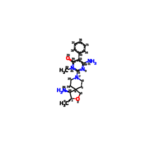 C[C@@H]1OCC2(CCN(c3nc(N)c(-c4ccccc4)c(=O)n3C)CC2)[C@@H]1N